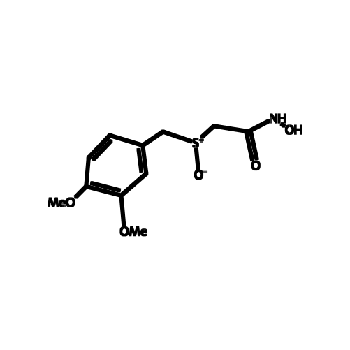 COc1ccc(C[S+]([O-])CC(=O)NO)cc1OC